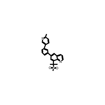 Cc1ccc(-c2cccc(-c3cc(C(C)(C)S(C)(=O)=O)c4ncccc4c3)c2)cn1